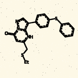 CCSCc1cc(=O)n2ncc(-c3ccc(Sc4ccccc4)cc3)c2[nH]1